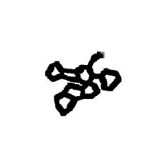 N#CC1=C(c2ccccc2)C2(C=CC=C3C2=Cc2ccccc23)C2=Cc3ccccc3C2=C1